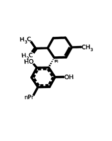 C=C(C)C1CCC(C)=C[C@@H]1c1c(O)cc(CCC)cc1O